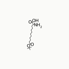 CC(C)(C)OC(=O)CCCCCCCCCC(N)C(=O)O